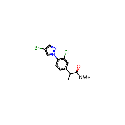 CNC(=O)C(C)c1ccc(-n2cc(Br)cn2)c(Cl)c1